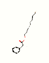 C[C@@H](C(=O)OCCCCCCCCBr)c1ccccc1